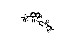 Cc1cc(C(=O)N2CC[C@H](Nc3nccc4ccc(-c5noc(C)n5)cc34)C2)no1